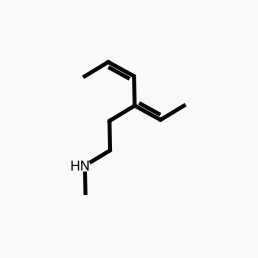 C/C=C\C(=C/C)CCNC